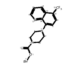 CC(C)(C)OC(=O)N1CCN(c2ccc(C(F)(F)F)c3cccnc23)CC1